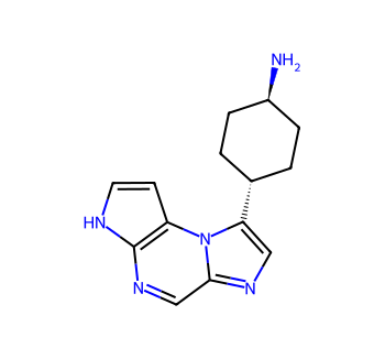 N[C@H]1CC[C@H](c2cnc3cnc4[nH]ccc4n32)CC1